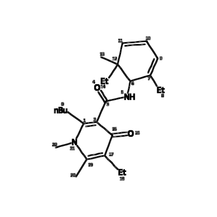 CCCCc1c(C(=O)NC2C(CC)=CC=CC2(C)CC)c(=O)c(CC)c(C)n1C